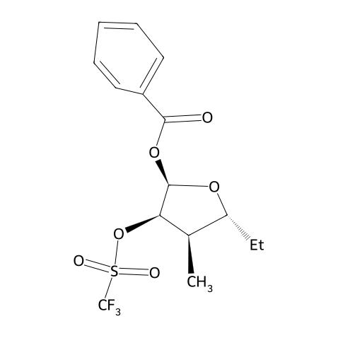 CC[C@H]1O[C@H](OC(=O)c2ccccc2)[C@H](OS(=O)(=O)C(F)(F)F)[C@@H]1C